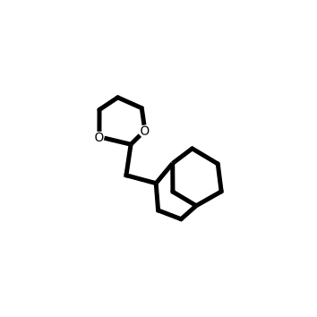 C1COC(CC2CCC3CCCC2C3)OC1